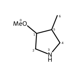 COC1CNCC1C